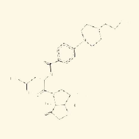 CCCN1CCN(c2ccc(C(=O)N[C@@H](CC(C)C)C(=O)N3C[C@H](C)[C@H]4OCC(=O)[C@H]43)cc2)CC1